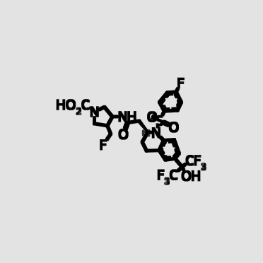 O=C(C[C@@H]1CCc2cc(C(O)(C(F)(F)F)C(F)(F)F)ccc2N1S(=O)(=O)c1ccc(F)cc1)NC1CN(C(=O)O)CC1CF